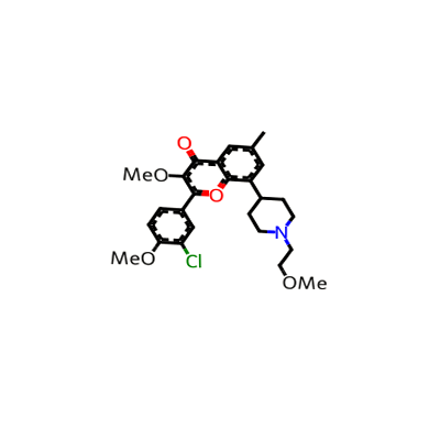 COCCN1CCC(c2cc(C)cc3c(=O)c(OC)c(-c4ccc(OC)c(Cl)c4)oc23)CC1